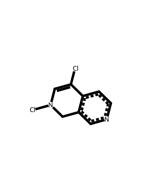 ClC1=CN(Cl)Cc2cnccc21